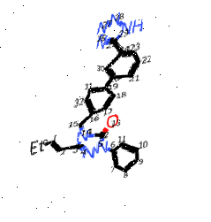 CCC=Cc1nn(-c2ccccc2)c(=O)n1Cc1ccc(-c2cccc(-c3nnn[nH]3)c2)cc1